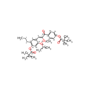 CCCc1cc(C=C(OC)C(=O)c2ccc(OC(=O)C(C)(C)C)cc2)c(OC(C)C)cc1OC(=O)C(C)(C)C